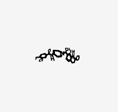 CC(c1ccc2c(c1)NC(=O)CC2)N1CCC(NC(=O)c2ccc(F)c(Cl)c2)CC1